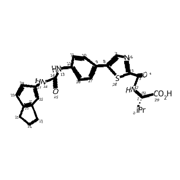 CC(C)[C@H](NC(=O)c1ncc(-c2ccc(NC(=O)Nc3ccc4c(c3)CCC4)cc2)s1)C(=O)O